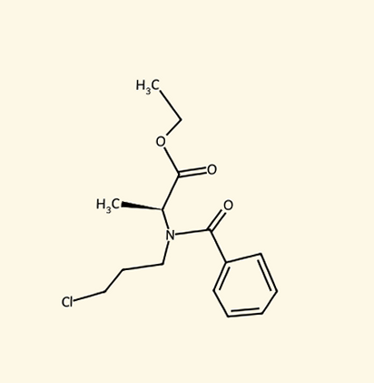 CCOC(=O)[C@H](C)N(CCCCl)C(=O)c1ccccc1